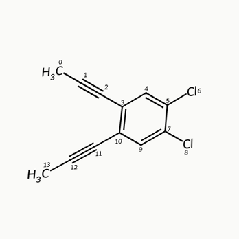 CC#Cc1cc(Cl)c(Cl)cc1C#CC